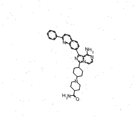 NC(=O)C1CCN(C2CCC(c3nc(-c4ccc5ccc(-c6ccccc6)nc5c4)c4c(N)nccn34)CC2)CC1